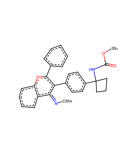 CO/N=c1\c(-c2ccc(C3(NC(=O)OC(C)(C)C)CCC3)cc2)c(-c2ccccc2)oc2ccccc12